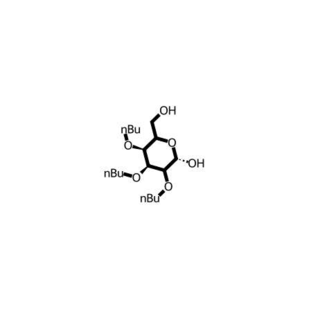 CCCCOC1[C@@H](OCCCC)[C@@H](OCCCC)C(CO)O[C@@H]1O